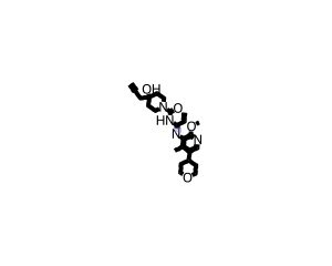 C#CCC1(O)CCN(C(=O)N/C(C=C)=N/c2c(OC)ncc(C3CCOCC3)c2C)CC1